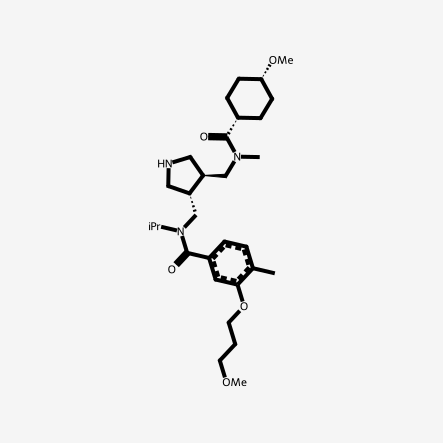 COCCCOc1cc(C(=O)N(C[C@@H]2CNC[C@H]2CN(C)C(=O)[C@H]2CC[C@@H](OC)CC2)C(C)C)ccc1C